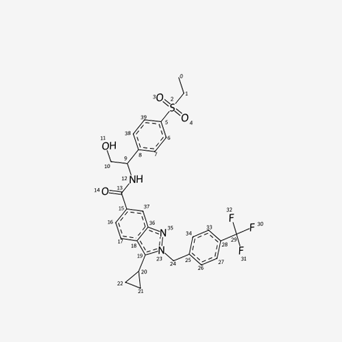 CCS(=O)(=O)c1ccc(C(CO)NC(=O)c2ccc3c(C4CC4)n(Cc4ccc(C(F)(F)F)cc4)nc3c2)cc1